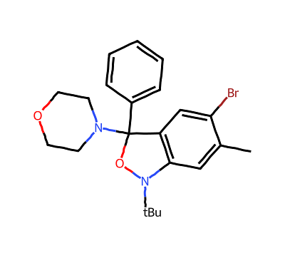 Cc1cc2c(cc1Br)C(c1ccccc1)(N1CCOCC1)ON2C(C)(C)C